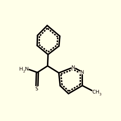 Cc1ccc(C(C(N)=S)c2ccccc2)nn1